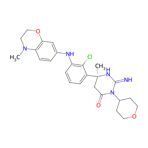 CN1CCOc2cc(Nc3cccc([C@]4(C)CC(=O)N(C5CCOCC5)C(=N)N4)c3Cl)ccc21